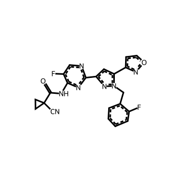 N#CC1(C(=O)Nc2nc(-c3cc(-c4ccon4)n(Cc4ccccc4F)n3)ncc2F)CC1